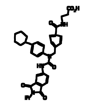 CC(C)N1C(=O)c2ccc(NC(=O)N(Cc3ccc(C(=O)NCCC(=O)O)cc3)c3ccc(C4CCCCC4)cc3)cc2C1=O